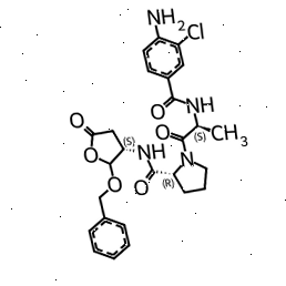 C[C@H](NC(=O)c1ccc(N)c(Cl)c1)C(=O)N1CCC[C@@H]1C(=O)N[C@H]1CC(=O)OC1OCc1ccccc1